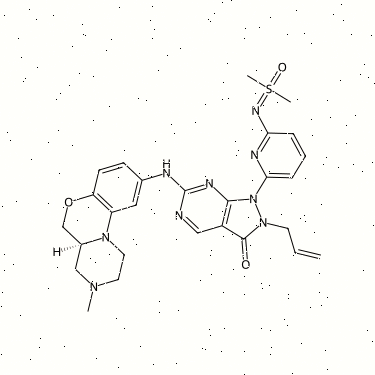 C=CCn1c(=O)c2cnc(Nc3ccc4c(c3)N3CCN(C)C[C@H]3CO4)nc2n1-c1cccc(N=S(C)(C)=O)n1